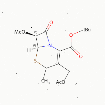 CO[C@H]1C(=O)N2C(C(=O)OC(C)(C)C)=C(COC(C)=O)C(C)S[C@@H]12